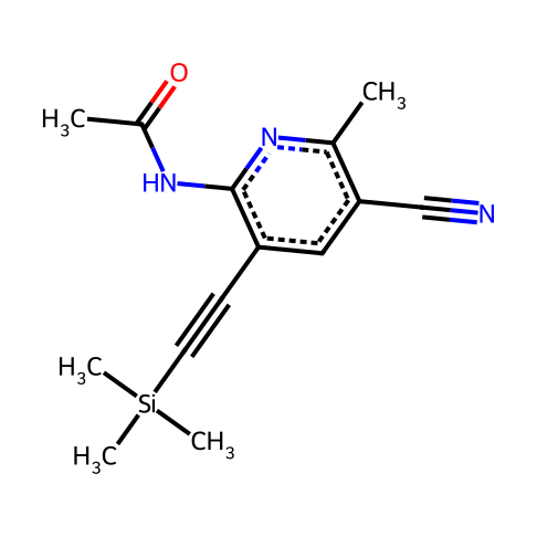 CC(=O)Nc1nc(C)c(C#N)cc1C#C[Si](C)(C)C